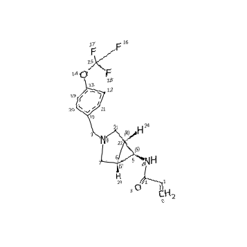 C=CC(=O)N[C@H]1[C@@H]2CN(Cc3ccc(OC(F)(F)F)cc3)C[C@@H]21